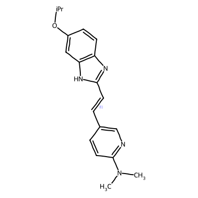 CC(C)Oc1ccc2nc(/C=C/c3ccc(N(C)C)nc3)[nH]c2c1